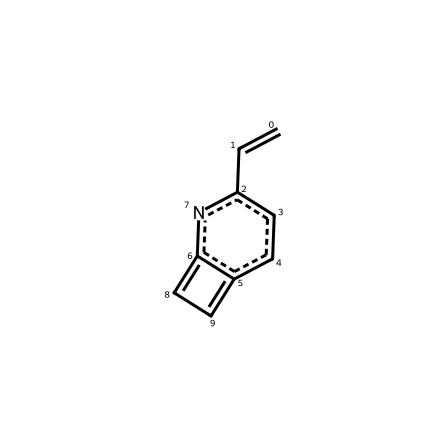 C=Cc1ccc2c(n1)=CC=2